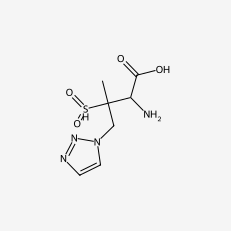 CC(Cn1ccnn1)(C(N)C(=O)O)[SH](=O)=O